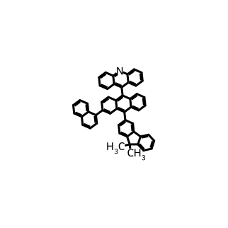 CC1(C)c2ccccc2-c2cc(-c3c4ccccc4c(-c4c5ccccc5nc5ccccc45)c4ccc(-c5cccc6ccccc56)cc34)ccc21